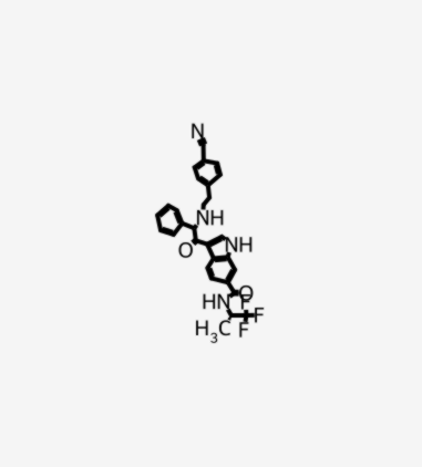 C[C@@H](NC(=O)c1ccc2c(C(=O)C(NCCc3ccc(C#N)cc3)c3ccccc3)c[nH]c2c1)C(F)(F)F